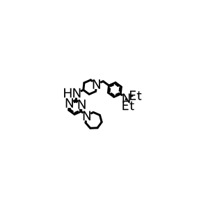 CCN(CC)c1ccc(CN2CCC(Nc3nccc(N4CCCCCC4)n3)CC2)cc1